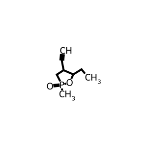 C#CC1CP(C)(=O)OC1CC